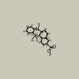 COC(=O)c1ccc2c3c(ccc2c1)N(C)c1ccccc1C3(C)C